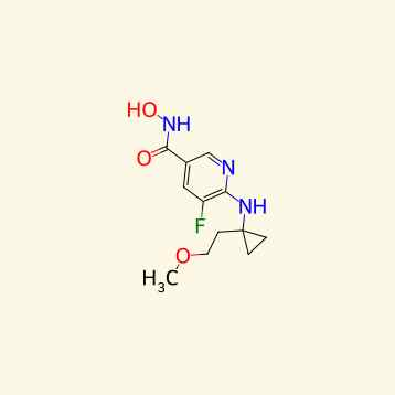 COCCC1(Nc2ncc(C(=O)NO)cc2F)CC1